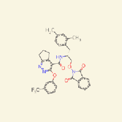 Cc1ccc(C[C@H](CON2C(=O)c3ccccc3C2=O)NC(=O)c2c(Oc3cccc(C(F)(F)F)c3)nnc3c2CCC3)c(C)c1